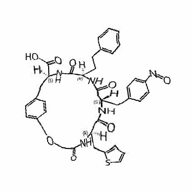 O=Nc1ccc(C[C@@H]2NC(=O)[C@@H](Cc3cccs3)NC(=O)COc3ccc(cc3)C[C@@H](C(=O)O)NC(=O)[C@@H](CCc3ccccc3)NC2=O)cc1